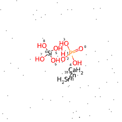 O=P(O)(O)O.O[Si](O)(O)O.[CaH2].[SrH2].[Zn]